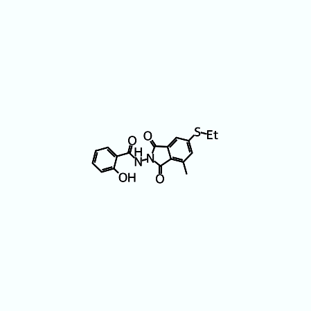 CCSc1cc(C)c2c(c1)C(=O)N(NC(=O)c1ccccc1O)C2=O